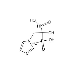 O=[PH](O)C(O)(Cn1ccnc1)P(=O)(O)O